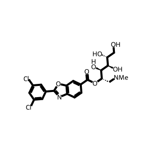 CNC[C@H](OC(=O)c1ccc2nc(-c3cc(Cl)cc(Cl)c3)oc2c1)[C@@H](O)[C@H](O)[C@H](O)CO